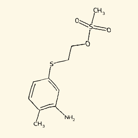 Cc1ccc(SCCOS(C)(=O)=O)cc1N